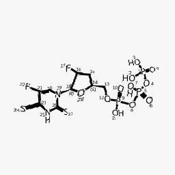 O=P(O)(O)OP(=O)(O)OP(=O)(O)OC[C@@H]1CC(F)[C@H](n2cc(F)c(=S)[nH]c2=S)O1